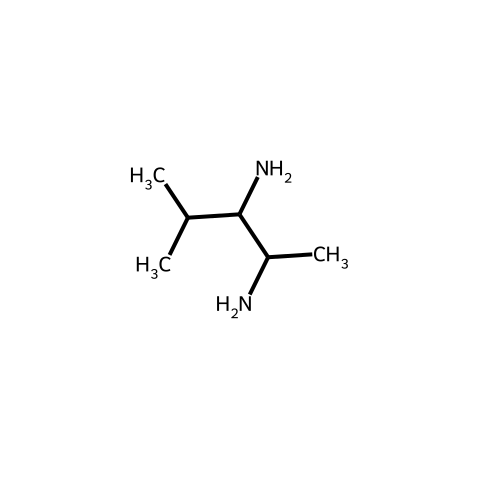 CC(C)C(N)C(C)N